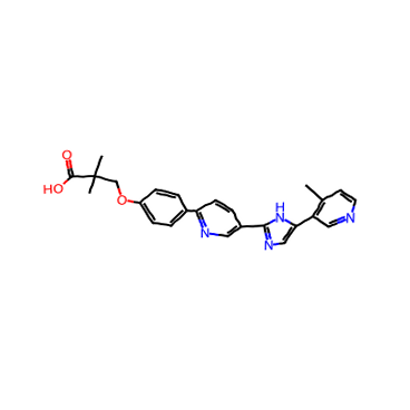 Cc1ccncc1-c1cnc(-c2ccc(-c3ccc(OCC(C)(C)C(=O)O)cc3)nc2)[nH]1